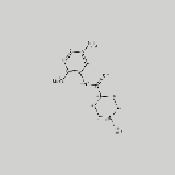 COc1ccc(N)cc1NC(=S)N1CCN(C)CC1